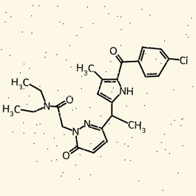 CCN(CC)C(=O)Cn1nc(C(C)c2cc(C)c(C(=O)c3ccc(Cl)cc3)[nH]2)ccc1=O